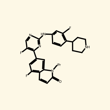 CC(C)n1c(=O)ccc2c(F)cc(-c3nc(Nc4ccc(C5CCNCC5)c(F)c4)ncc3F)cc21